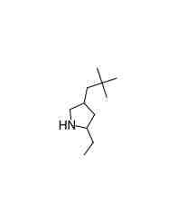 CCC1CC(CC(C)(C)C)CN1